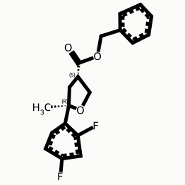 C[C@]1(c2ccc(F)cc2F)C[C@H](C(=O)OCc2ccccc2)CO1